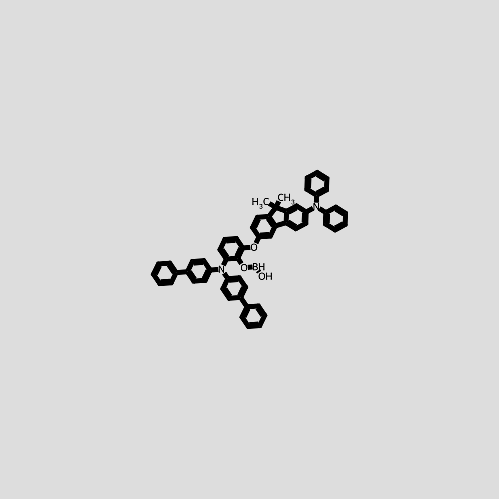 CC1(C)c2ccc(Oc3cccc(N(c4ccc(-c5ccccc5)cc4)c4ccc(-c5ccccc5)cc4)c3OBO)cc2-c2ccc(N(c3ccccc3)c3ccccc3)cc21